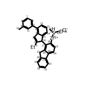 CCC1=Cc2c(-c3cccc(C)c3)cccc2C1c1[c]([Zr+2][SiH](C)C)ccc2c1Cc1ccccc1-2.[Cl-].[Cl-]